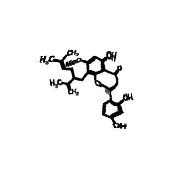 C=C(C)C(CC=C(C)C)Cc1c(OC)cc(O)c2c1O[C@H](c1ccc(O)cc1O)CC2=O